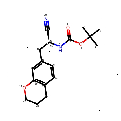 CC(C)(C)OC(=O)N[C@H](C#N)Cc1ccc2c(c1)OCCC2